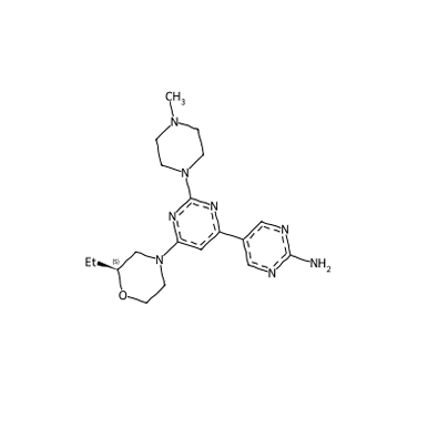 CC[C@H]1CN(c2cc(-c3cnc(N)nc3)nc(N3CCN(C)CC3)n2)CCO1